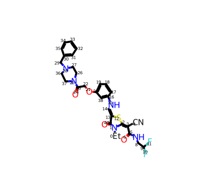 CCn1c(=C(C#N)C(=O)NCC(F)F)sc(=CNc2cccc(OCC(=O)N3CCN(Cc4ccccc4)CC3)c2)c1=O